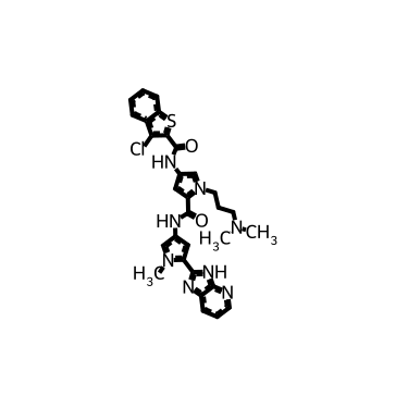 CN(C)CCCn1cc(NC(=O)c2sc3ccccc3c2Cl)cc1C(=O)Nc1cc(-c2nc3cccnc3[nH]2)n(C)c1